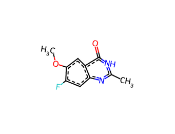 COc1cc2c(=O)[nH]c(C)nc2cc1F